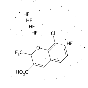 F.F.F.F.F.O=C(O)C1=Cc2cccc(Cl)c2OC1C(F)(F)F